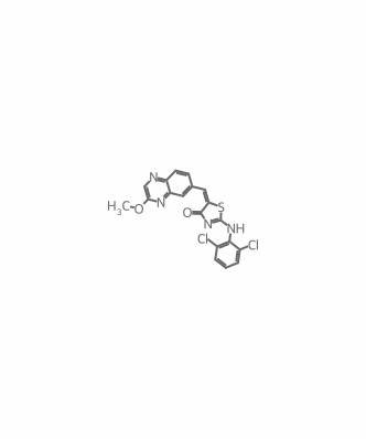 COc1cnc2ccc(C=C3SC(Nc4c(Cl)cccc4Cl)=NC3=O)cc2n1